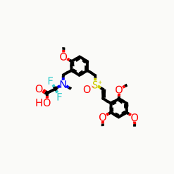 COc1cc(OC)c(C=C[S+]([O-])Cc2ccc(OC)c(CN(C)C(F)(F)C(=O)O)c2)c(OC)c1